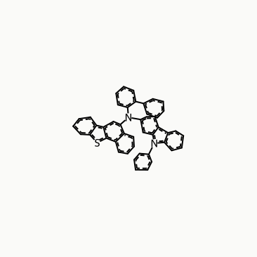 c1ccc(-c2ccccc2N(c2ccc3c4ccccc4n(-c4ccccc4)c3c2)c2cc3c4ccccc4sc3c3ccccc23)cc1